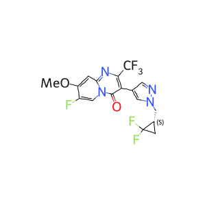 COc1cc2nc(C(F)(F)F)c(-c3cnn(C[C@@H]4CC4(F)F)c3)c(=O)n2cc1F